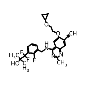 C#Cc1cc2nc(C)nc(NCc3cccc(C(F)(F)C(C)(C)O)c3F)c2cc1OCCOC1CC1